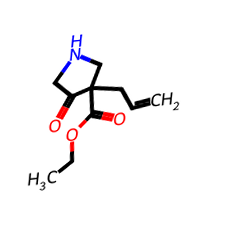 C=CCC1(C(=O)OCC)CNCC1=O